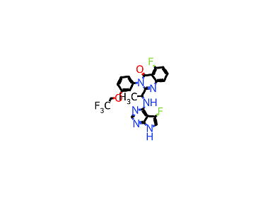 C[C@H](Nc1ncnc2[nH]cc(F)c12)c1nc2cccc(F)c2c(=O)n1-c1cccc(OCC(F)(F)F)c1